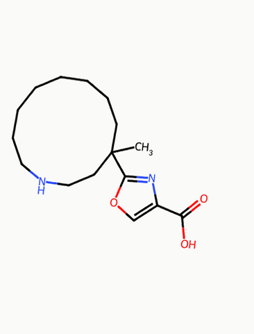 CC1(c2nc(C(=O)O)co2)CCCCCCCCNCC1